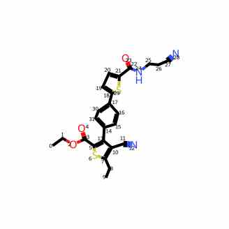 CCOC(=O)c1sc(CC)c(C#N)c1-c1ccc(-c2ccc(C(=O)NCCC#N)s2)cc1